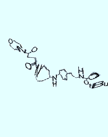 CC(C)(C)OC(=O)NCCc1ccc(NC2CCN(C(=O)CCC(=O)N3CCOCC3)CC2)cc1